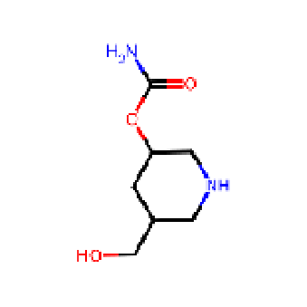 NC(=O)OC1CNCC(CO)C1